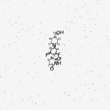 O=C1CC[C@H](c2c(F)cc(N3CCC(CO)CC3)cc2F)C(=O)N1